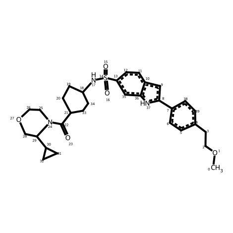 COCCc1ccc(-c2cc3ccc(S(=O)(=O)NC4CCC(C(=O)N5CCOCC5C5CC5)CC4)cc3[nH]2)cc1